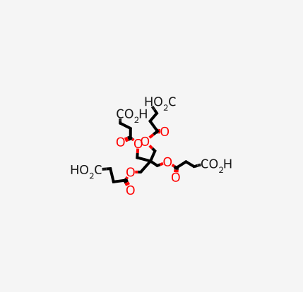 O=C(O)CCC(=O)OCC(COC(=O)CCC(=O)O)(COC(=O)CCC(=O)O)COC(=O)CCC(=O)O